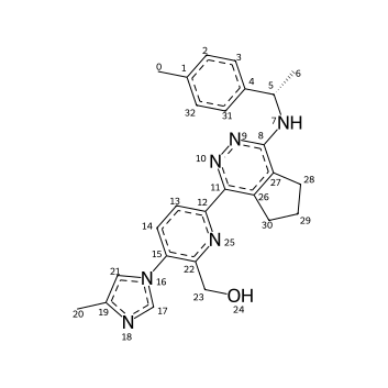 Cc1ccc([C@H](C)Nc2nnc(-c3ccc(-n4cnc(C)c4)c(CO)n3)c3c2CCC3)cc1